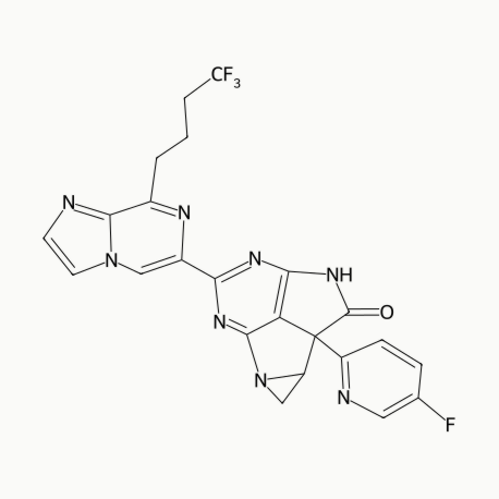 O=C1Nc2nc(-c3cn4ccnc4c(CCCC(F)(F)F)n3)nc3c2C1(c1ccc(F)cn1)C1CN31